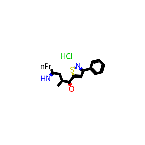 CCCC(=N)CC(C)C(=O)c1cc(-c2ccccc2)ns1.Cl